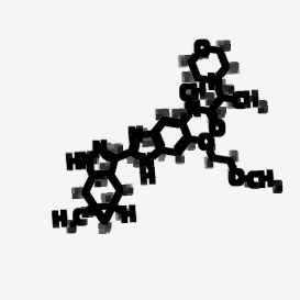 COCCOc1cc2[nH]c(-c3n[nH]c4c3C[C@@H]3C[C@]3(C)C4)nc2cc1N(C)C(=O)C(C)N1CCOCC1